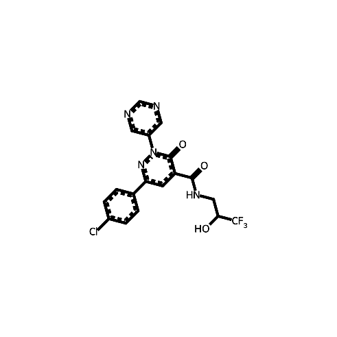 O=C(NCC(O)C(F)(F)F)c1cc(-c2ccc(Cl)cc2)nn(-c2cncnc2)c1=O